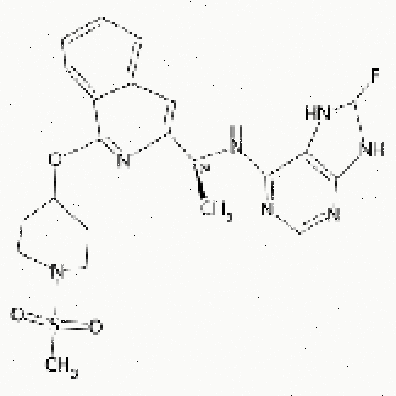 C[C@H](Nc1ncnc2c1NC(F)N2)c1cc2ccccc2c(OC2CCN(S(C)(=O)=O)CC2)n1